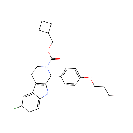 O=C(OCC1CCC1)N1CCc2c([nH]c3c2=CC(Cl)CC=3)[C@@H]1c1ccc(OCCCO)cc1